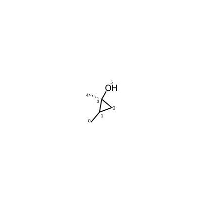 CC1C[C@]1(C)O